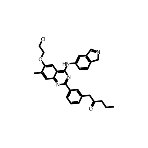 CCCC(=O)Cc1cccc(-c2nc(Nc3ccc4c(c3)C=NC4)c3cc(OCCCl)c(C)cc3n2)c1